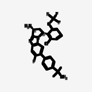 CC(C)(N)c1ccc(-c2cc3c(cc2F)nc2n3[C@@H](c3c(Cl)cccc3OC(F)(F)F)C[C@H]2N)cc1